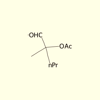 CCCC(C)([C]=O)OC(C)=O